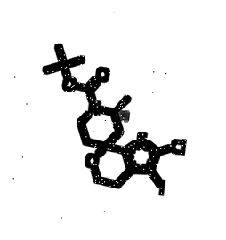 C[C@H]1CC2(CCN1C(=O)OC(C)(C)C)OCCc1c2sc(Cl)c1I